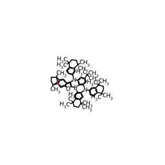 CC(C)(C)c1cc2c3c(c1)N(c1ccc4c(c1)C(C)(C)CCC4(C)C)c1c(oc4cc5c(cc14)C1(C)CCC5(C)CC1)B3c1cc3c(cc1N2c1ccc2c(c1)C(C)(C)CCC2(C)C)C(C)(C)CCC3(C)C